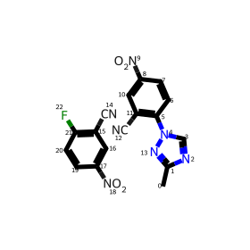 Cc1ncn(-c2ccc([N+](=O)[O-])cc2C#N)n1.N#Cc1cc([N+](=O)[O-])ccc1F